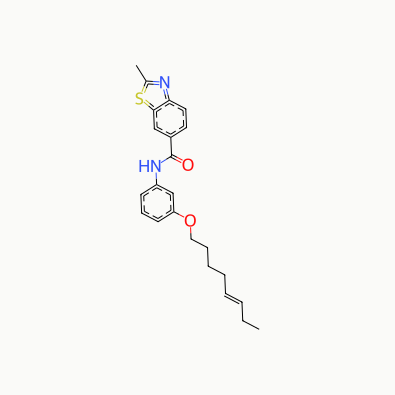 CCC=CCCCCOc1cccc(NC(=O)c2ccc3nc(C)sc3c2)c1